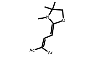 CC(=O)C(=CC=C1OCC(C)(C)N1C)C(C)=O